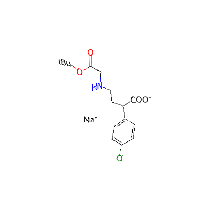 CC(C)(C)OC(=O)CNCCC(C(=O)[O-])c1ccc(Cl)cc1.[Na+]